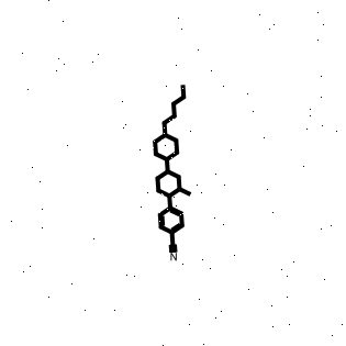 CCCCCC1CCC(C2CCC(c3ccc(C#N)cc3)C(C)C2)CC1